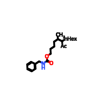 CCCCCCC(C(C)=O)C(C)CCCCOC(=O)NCc1ccccc1